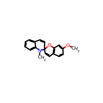 COc1ccc2c(c1)OC1(C=C2)C=Cc2ccccc2N1C